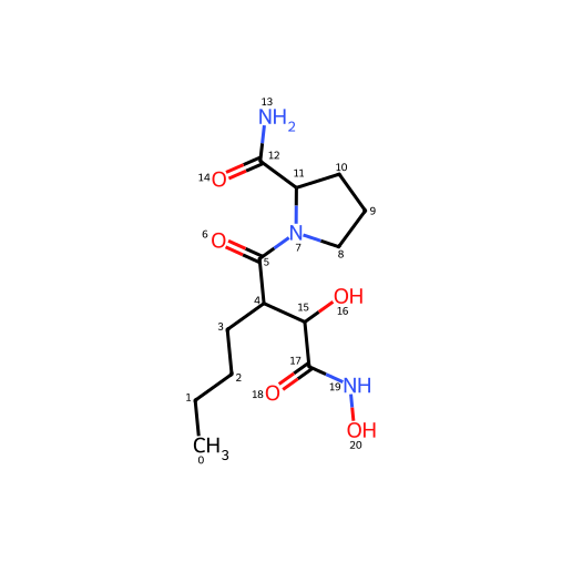 CCCCC(C(=O)N1CCCC1C(N)=O)C(O)C(=O)NO